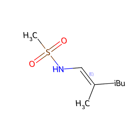 CCC(C)/C(C)=C/NS(C)(=O)=O